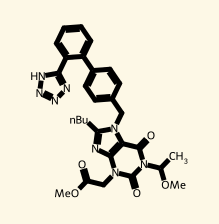 CCCCc1nc2c(c(=O)n(C(C)OC)c(=O)n2CC(=O)OC)n1Cc1ccc(-c2ccccc2-c2nnn[nH]2)cc1